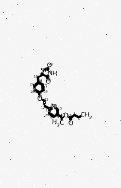 CCCC(=O)OC(C)c1ccc(CCOc2ccc(CC3SC(=O)NC3=O)cc2)nc1